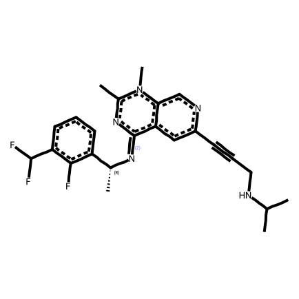 Cc1n/c(=N\[C@H](C)c2cccc(C(F)F)c2F)c2cc(C#CCNC(C)C)ncc2n1C